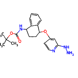 CC(C)(C)OC(=O)NC1CCC(Oc2ccnc(NN)c2)c2ccccc21